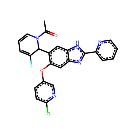 CC(=O)N1C=CC=C(F)C1c1cc2[nH]c(-c3ccccn3)nc2cc1Oc1ccc(Cl)nc1